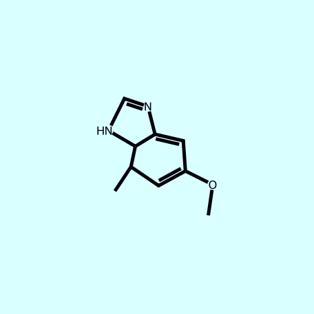 COC1=CC(C)C2NC=NC2=C1